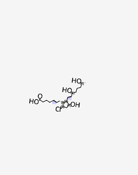 C[C@@H](O)CCC[C@H](O)/C=C/[C@@H]1[C@@H](C/C=C/CCCC(=O)O)[C@H](Cl)C[C@H]1O